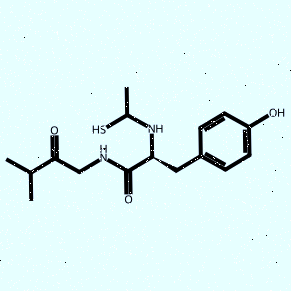 CC(S)N[C@@H](Cc1ccc(O)cc1)C(=O)NCC(=O)C(C)C